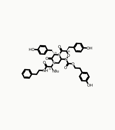 CCCC[C@@H](C(=O)NCCc1ccccc1)N1CC2N(C(=O)OCCc3ccc(O)cc3)O[C@H](Cc3ccc(O)cc3)C(=O)N2[C@@H](Cc2ccc(O)cc2)C1=O